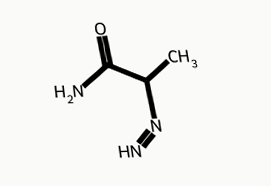 CC(N=N)C(N)=O